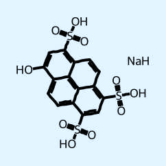 O=S(=O)(O)c1cc(O)c2ccc3c(S(=O)(=O)O)cc(S(=O)(=O)O)c4ccc1c2c34.[NaH]